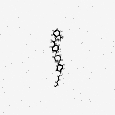 CCCCCOc1ccc(N2CCN(c3ccc(C(=O)n4nnc5ccccc54)cc3)CC2)cc1